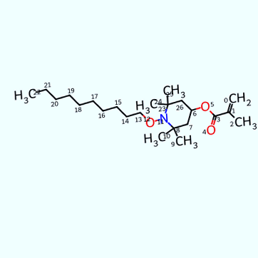 C=C(C)C(=O)OC1CC(C)(C)N(OCCCCCCCCCC)C(C)(C)C1